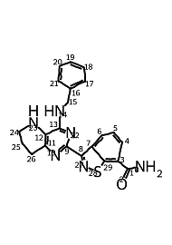 NC(=O)c1cccc2c(-c3nc4c(c(NCc5ccccc5)n3)NCCC4)nsc12